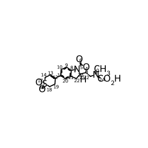 CN(C[C@@H]1OC(=O)N2c3ccc(C4=CCS(=O)(=O)CC4)cc3C[C@@H]12)C(=O)O